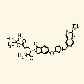 CC(C)(C)OC(=O)CC[C@@H](C(N)=O)N1Cc2cc(O[C@H]3CCN(Cc4ccc5nc(N6CCC6)ncc5c4)C3)ccc2C1=O